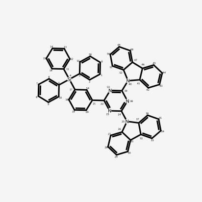 c1ccc([Si](c2ccccc2)(c2ccccc2)c2cccc(-c3nc(-n4c5ccccc5c5ccccc54)nc(-n4c5ccccc5c5ccccc54)n3)c2)cc1